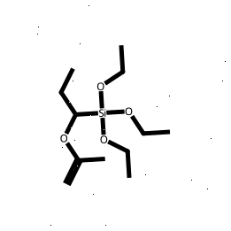 C=C(C)OC(CC)[Si](OCC)(OCC)OCC